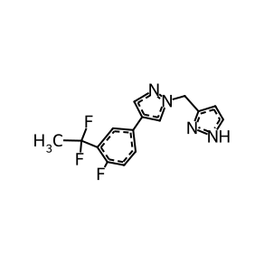 CC(F)(F)c1cc(-c2cnn(Cc3cc[nH]n3)c2)ccc1F